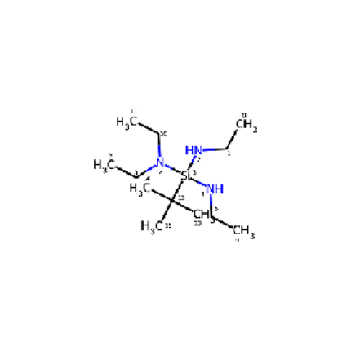 CCN[Si](NCC)(N(CC)CC)C(C)(C)C